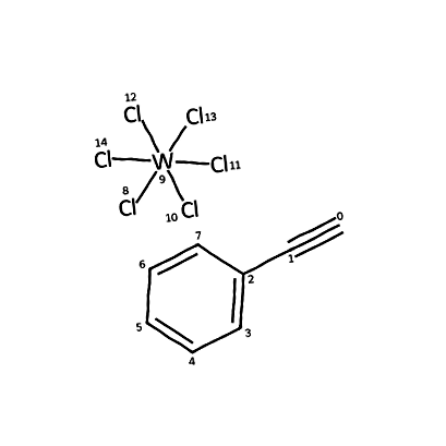 C#Cc1ccccc1.[Cl][W]([Cl])([Cl])([Cl])([Cl])[Cl]